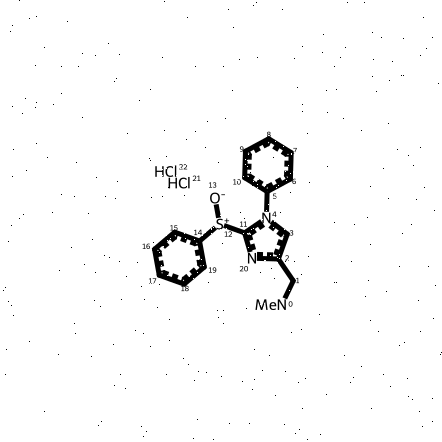 CNCc1cn(-c2ccccc2)c([S+]([O-])c2ccccc2)n1.Cl.Cl